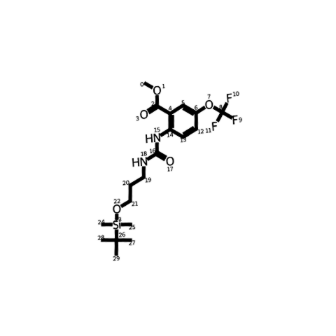 COC(=O)c1cc(OC(F)(F)F)ccc1NC(=O)NCCCO[Si](C)(C)C(C)(C)C